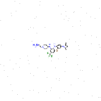 CC1CC(C)N1c1ccc2c(c1)Sc1cc(C(F)(F)F)cc(NC3CCN(CCN)CC3)c1N2